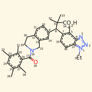 CCn1nnc2c(C)c(C(c3ccc4c(c3)CN(C(=O)c3c(C)c(C)cc(C)c3C)CC4)C(C)(C)C(=O)O)ccc21